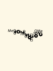 COC(=O)N1CCN(CCC(=O)NCC(=O)N(C)c2ccc(Cl)c(COc3cccc4c3nc(OC)n4Cc3ccccn3)c2Cl)CC1